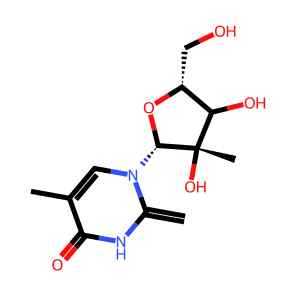 C=C1NC(=O)C(C)=CN1[C@@H]1O[C@H](CO)C(O)[C@]1(C)O